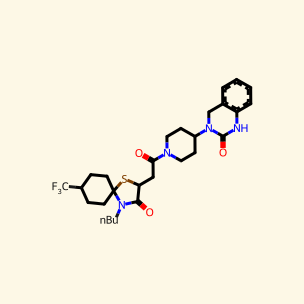 CCCCN1C(=O)C(CC(=O)N2CCC(N3Cc4ccccc4NC3=O)CC2)SC12CCC(C(F)(F)F)CC2